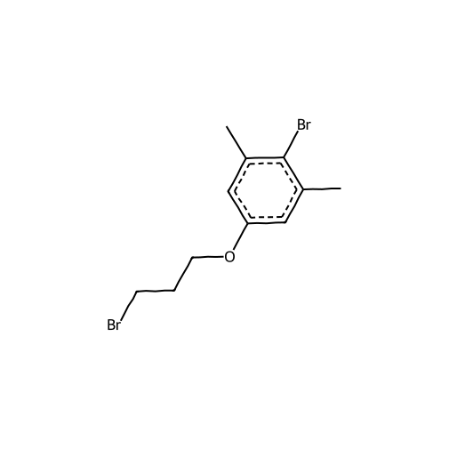 Cc1cc(OCCCBr)cc(C)c1Br